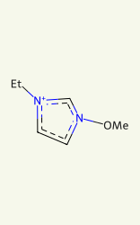 CC[n+]1ccn(OC)c1